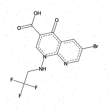 O=C(O)c1cn(NCC(F)(F)F)c2ncc(Br)cc2c1=O